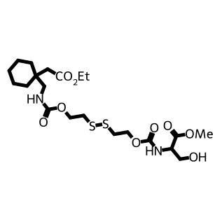 CCOC(=O)CC1(CNC(=O)OCCSSCCOC(=O)NC(CO)C(=O)OC)CCCCC1